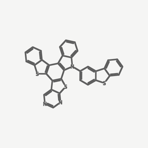 c1ccc2c(c1)sc1ccc(-n3c4ccccc4c4c5c6ccccc6sc5c5c6cncnc6sc5c43)cc12